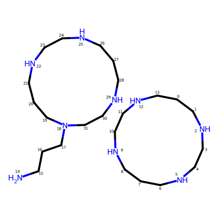 C1CNCCNCCCNCCNC1.NCCCN1CCCNCCNCCCNCC1